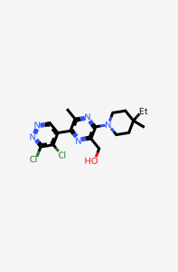 CCC1(C)CCN(c2nc(C)c(-c3cnnc(Cl)c3Cl)nc2CO)CC1